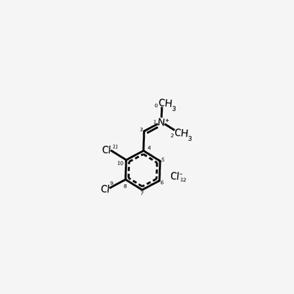 C[N+](C)=Cc1cccc(Cl)c1Cl.[Cl-]